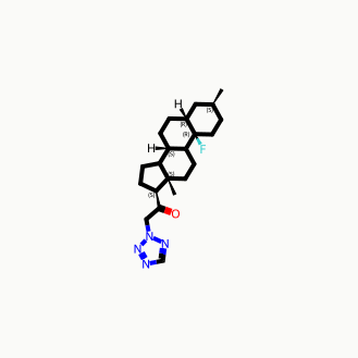 C[C@H]1CC[C@]2(F)C3CC[C@@]4(C)C(CC[C@@H]4C(=O)Cn4ncnn4)[C@@H]3CC[C@@H]2C1